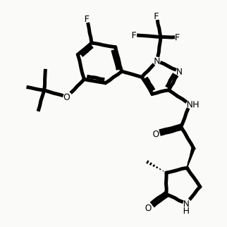 C[C@H]1C(=O)NC[C@@H]1CC(=O)Nc1cc(-c2cc(F)cc(OC(C)(C)C)c2)n(C(F)(F)F)n1